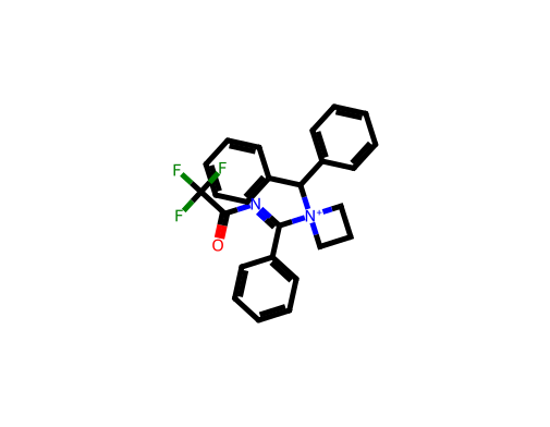 O=C(N=C(c1ccccc1)[N+]1(C(c2ccccc2)c2ccccc2)CCC1)C(F)(F)F